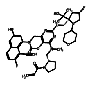 C#Cc1c(F)ccc2cc(O)cc(N3Cc4nc(OC[C@]5(C(C)(C)O)C[C@@H](F)CN5C5CCOCC5)nc(N(C)C[C@@H]5CCCN5C(=O)C=C)c4OC3=O)c12